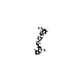 Cn1nc(-c2csc(C3CCN(C(=O)Cn4cc(Cl)cc(C(F)(F)F)c4=O)CC3)n2)cc1-c1c(F)cccc1F